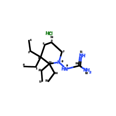 CCC1(CC)CCCN(NC(=N)N)C1(CC)CC.Cl